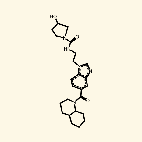 O=C(NCCn1cnc2cc(C(=O)N3CCCC4CCCCC43)ccc21)N1CCC(O)C1